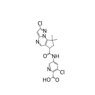 CC1(C)CC(C(=O)Nc2cnc(C(=O)O)c(Cl)c2)c2cnc3cc(Cl)nn3c21